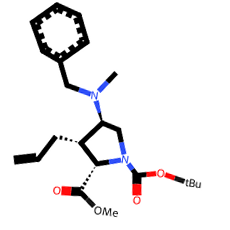 C=CC[C@H]1[C@@H](C(=O)OC)N(C(=O)OC(C)(C)C)C[C@@H]1N(C)Cc1ccccc1